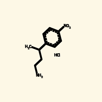 CC(CCN)c1ccc([N+](=O)[O-])cc1.Cl